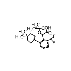 CC1(C)CC=C(c2cccc(C(F)(F)F)c2C(OC(C)(C)C)C(=O)O)CC1